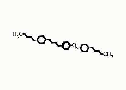 CCCCC[C@H]1CC[C@H](CCCCc2ccc(OC[C@H]3CC[C@H](CCCCC)CC3)cc2)CC1